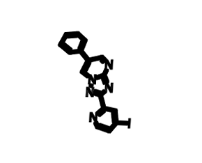 Ic1ccnc(-c2nc3ncc(-c4ccccc4)cn3n2)c1